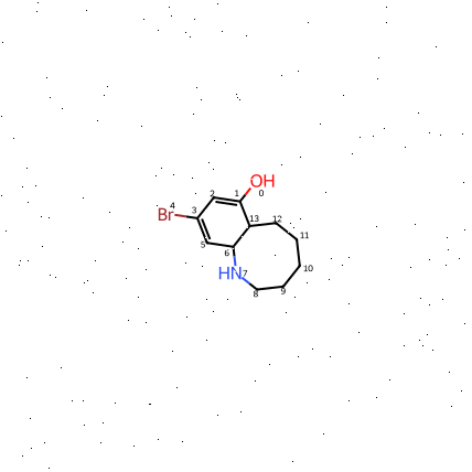 OC1=CC(Br)=CC2NCCCCCC12